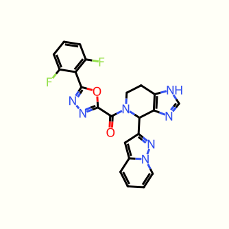 O=C(c1nnc(-c2c(F)cccc2F)o1)N1CCc2[nH]cnc2C1c1cc2ccccn2n1